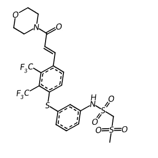 CS(=O)(=O)CS(=O)(=O)Nc1cccc(Sc2ccc(/C=C/C(=O)N3CCOCC3)c(C(F)(F)F)c2C(F)(F)F)c1